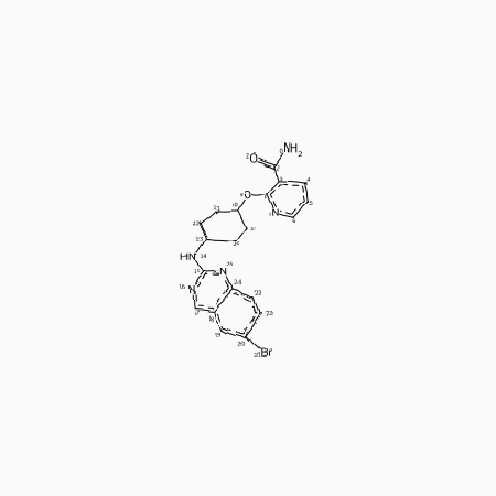 NC(=O)c1cccnc1OC1CCC(Nc2ncc3cc(Br)ccc3n2)CC1